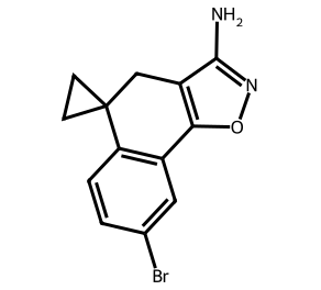 Nc1noc2c1CC1(CC1)c1ccc(Br)cc1-2